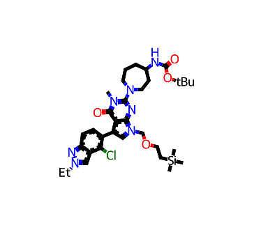 CCn1cc2c(Cl)c(-c3cn(COCC[Si](C)(C)C)c4nc(N5CCCC(NC(=O)OC(C)(C)C)CC5)n(C)c(=O)c34)ccc2n1